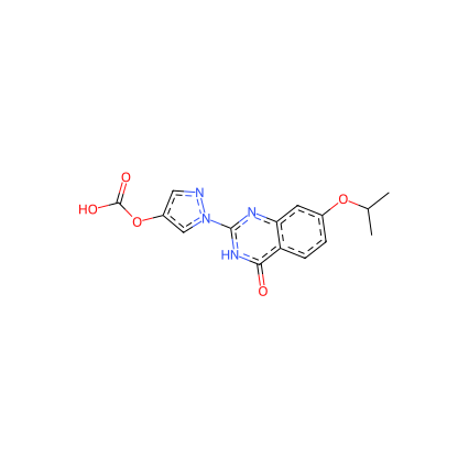 CC(C)Oc1ccc2c(=O)[nH]c(-n3cc(OC(=O)O)cn3)nc2c1